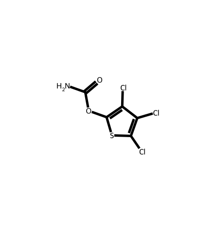 NC(=O)Oc1sc(Cl)c(Cl)c1Cl